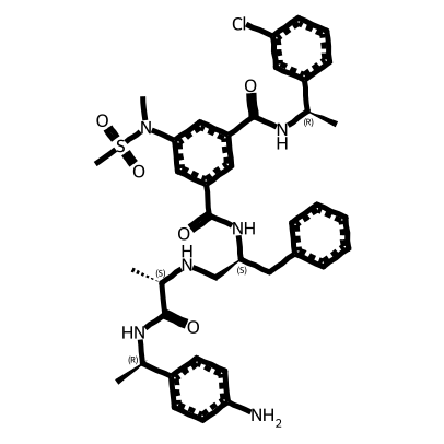 C[C@H](NC[C@H](Cc1ccccc1)NC(=O)c1cc(C(=O)N[C@H](C)c2cccc(Cl)c2)cc(N(C)S(C)(=O)=O)c1)C(=O)N[C@H](C)c1ccc(N)cc1